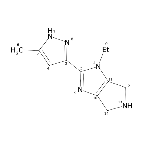 CCn1c(-c2cc(C)[nH]n2)nc2c1CNC2